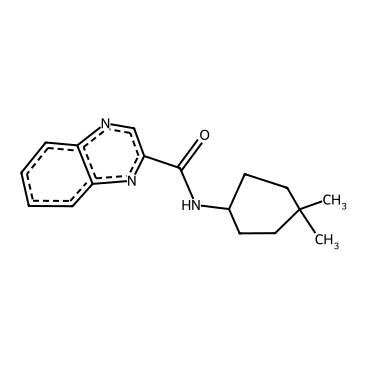 CC1(C)CCC(NC(=O)c2cnc3ccccc3n2)CC1